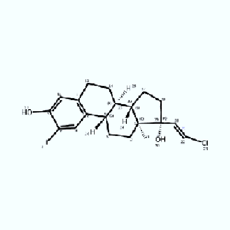 C[C@]12CC[C@@H]3c4cc(I)c(O)cc4CC[C@H]3[C@@H]1CC[C@@]2(O)/C=C/Cl